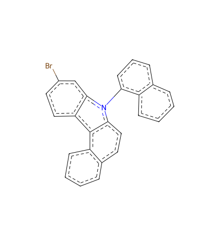 Brc1ccc2c3c4ccccc4ccc3n(-c3cccc4ccccc34)c2c1